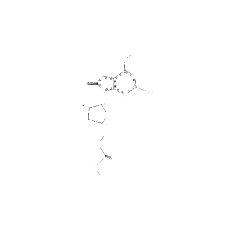 CCOc1nc(N)nc2c1sc(=O)n2[C@@H]1O[C@H](COC(=O)OC(C)C)C[C@H]1O